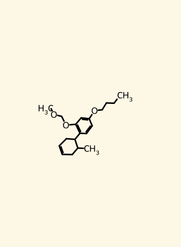 CCCCOc1ccc(C2CC=CCC2C)c(OCOC)c1